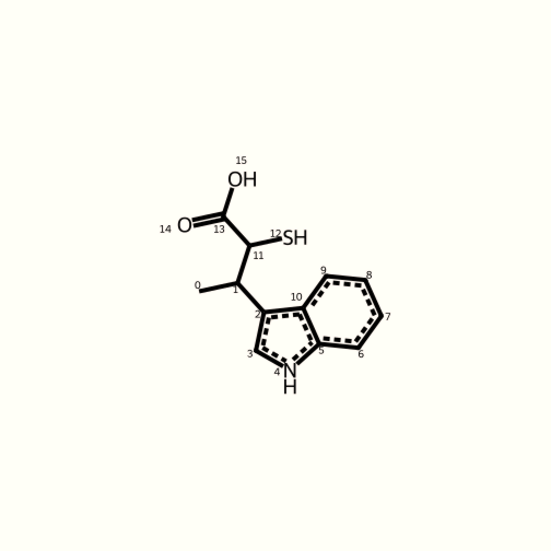 CC(c1c[nH]c2ccccc12)C(S)C(=O)O